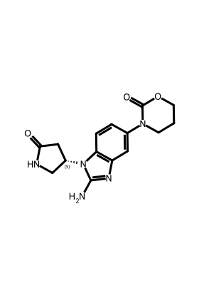 Nc1nc2cc(N3CCCOC3=O)ccc2n1[C@@H]1CNC(=O)C1